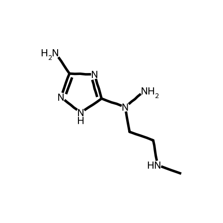 CNCCN(N)c1nc(N)n[nH]1